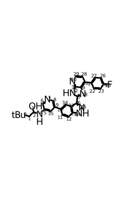 CC(C)(C)CC(O)Nc1cncc(-c2ccc3[nH]nc(-c4nc5c(-c6ccc(F)cc6)ccnc5[nH]4)c3c2)c1